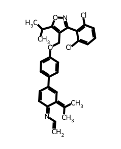 C=C/N=C1/C=CC(c2ccc(OCc3c(-c4c(Cl)cccc4Cl)noc3C(C)C)cc2)=CC1=C(C)C